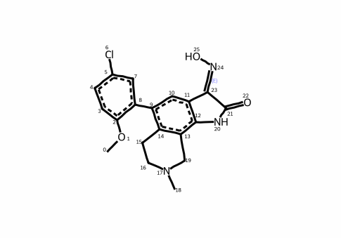 COc1ccc(Cl)cc1-c1cc2c(c3c1CCN(C)C3)NC(=O)/C2=N/O